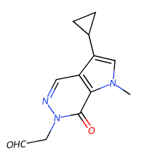 Cn1cc(C2CC2)c2cnn(CC=O)c(=O)c21